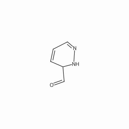 O=CC1C=CC=NN1